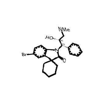 CNC[C@@H](O)[C@H](c1ccccc1)N1C(=O)C2(CCCCC2)c2cc(Br)ccc21